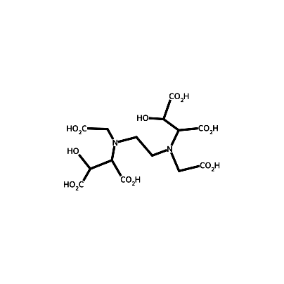 O=C(O)CN(CCN(CC(=O)O)C(C(=O)O)C(O)C(=O)O)C(C(=O)O)C(O)C(=O)O